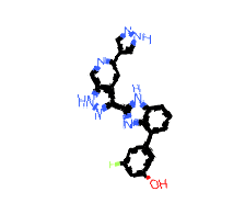 Oc1cc(F)cc(-c2cccc3[nH]c(-c4n[nH]c5cnc(-c6cn[nH]c6)cc45)nc23)c1